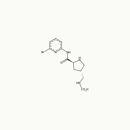 O=C(O)NC[C@H]1CN[C@H](C(=O)Nc2cccc(Br)n2)C1